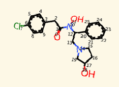 O=C(Cc1ccc(Cl)cc1)N(O)C(CN1CCC(O)C1)c1ccccc1